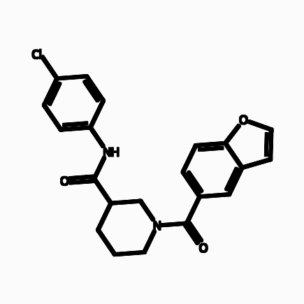 O=C(Nc1ccc(Cl)cc1)C1CCCN(C(=O)c2ccc3occc3c2)C1